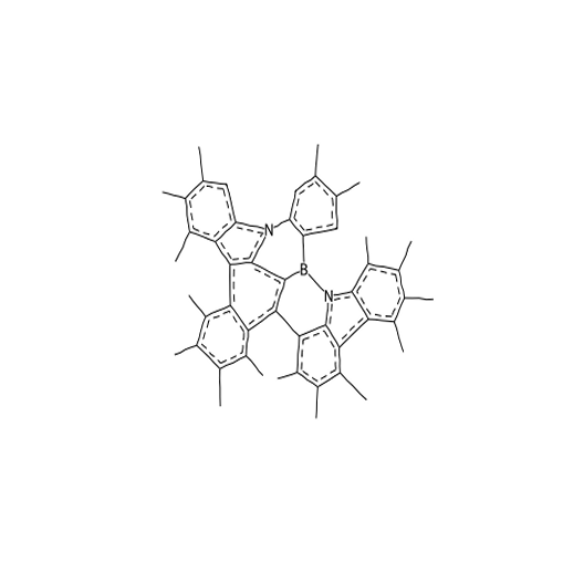 Cc1cc2c(cc1C)-n1c3cc(C)c(C)c(C)c3c3c4c(C)c(C)c(C)c(C)c4c4c(c31)B2n1c2c(C)c(C)c(C)c(C)c2c2c(C)c(C)c(C)c-4c21